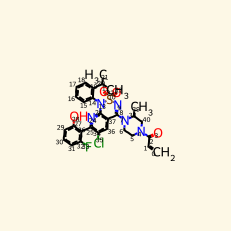 C=CC(=O)N1CCN(C2=NS(=O)(=O)N(c3ccccc3C(C)C)c3nc(-c4c(O)cccc4F)c(Cl)cc32)C(C)C1